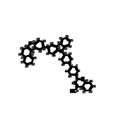 N#Cc1nc(-c2ccc(-c3ccc(-n4c5ccccc5c5cc(-c6ccc7sc8ccc9ccccc9c8c7c6)ccc54)cc3)cc2)nc2ccccc12